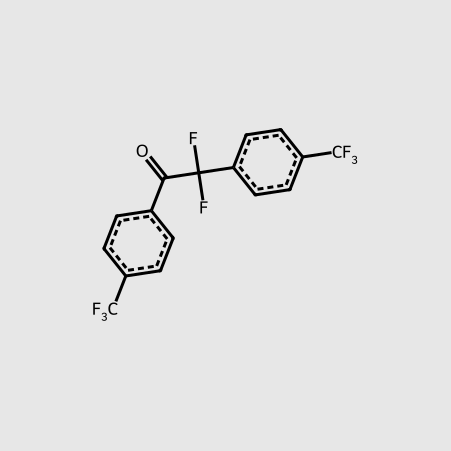 O=C(c1ccc(C(F)(F)F)cc1)C(F)(F)c1ccc(C(F)(F)F)cc1